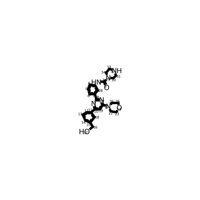 O=C(Nc1cccc(-c2nc(-c3cccc(CO)c3)cc(N3CCOCC3)n2)c1)N1CCNCC1